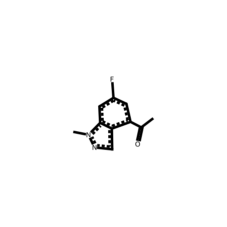 CC(=O)c1cc(F)cc2c1cnn2C